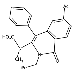 CC(=O)c1ccc2c(=O)n(CC(C)C)c(N(C)C(=O)O)c(-c3ccccc3)c2c1